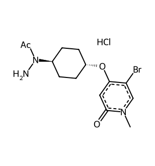 CC(=O)N(N)[C@H]1CC[C@H](Oc2cc(=O)n(C)cc2Br)CC1.Cl